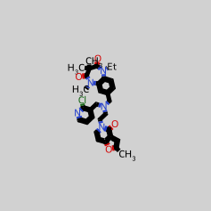 CCN1C(=O)C(C)(C)C(=O)N(C)c2cc(CN(CCn3ccc4oc(C)cc4c3=O)Cc3cccnc3Cl)ccc21